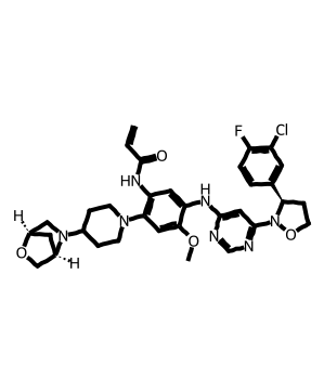 C=CC(=O)Nc1cc(Nc2cc(N3OCC[C@@H]3c3ccc(F)c(Cl)c3)ncn2)c(OC)cc1N1CCC(N2C[C@H]3C[C@@H]2CO3)CC1